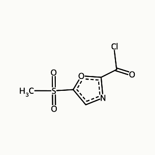 CS(=O)(=O)c1cnc(C(=O)Cl)o1